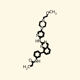 C=CC(=O)Nc1cccc(-c2cccc3cnc(Nc4ccc(N5CCN(CCOC)CC5)cn4)nc23)c1